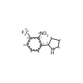 O=[N+]([O-])c1c(C2CCCN2)cccc1C(F)(F)F